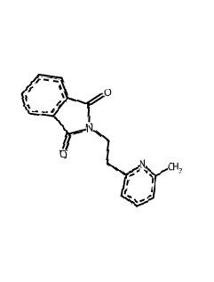 Cc1cccc(CCN2C(=O)c3ccccc3C2=O)n1